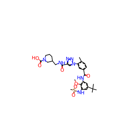 COc1c(NC(=O)c2ccc(C)c(-n3cc(C(=O)NCC4CCCN(C(=O)O)C4)nn3)c2)cc(C(C)(C)C)cc1NS(C)(=O)=O